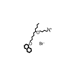 CCCCC(CCCCCOc1cccc2ccccc12)OCCCC[N+](C)(C)C.[Br-]